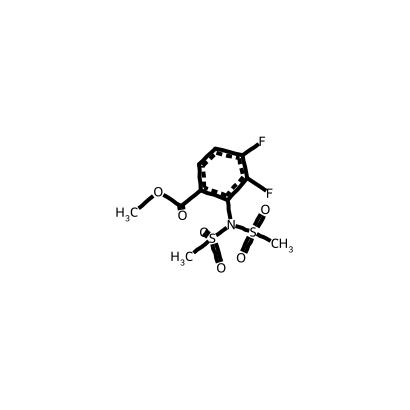 COC(=O)c1ccc(F)c(F)c1N(S(C)(=O)=O)S(C)(=O)=O